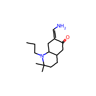 CCCN1C2CC(=CN)C(=O)CC2CCC1(C)C